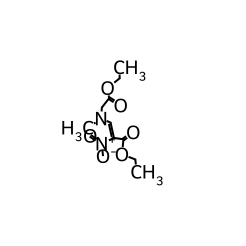 CCOC(=O)CN(C)C=C(C(=O)OCC)[N+](=O)[O-]